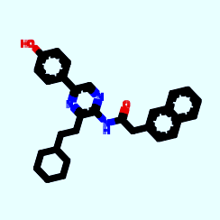 O=C(Cc1ccc2ccccc2c1)Nc1ncc(-c2ccc(O)cc2)nc1CCC1CCCCC1